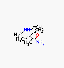 C=CCC(CC=C)=C(C)C(N)=O.C=CCNCC=C